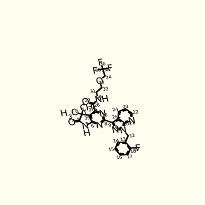 CC1(C)C(=O)Nc2nc(-c3nn(Cc4ccccc4F)c4ncccc34)nc(C(=O)NCCOCC(F)(F)F)c21